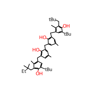 CCC(C)(C)Cc1c(C)c(Cc2cc(C)cc(Cc3cc(C)cc(Cc4cc(C(C)(C)C)c(O)c(CC(C)(C)C)c4C)c3O)c2O)cc(C(C)(C)C)c1O